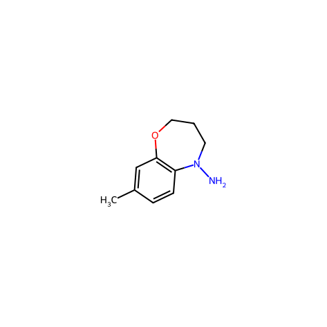 Cc1ccc2c(c1)OCCCN2N